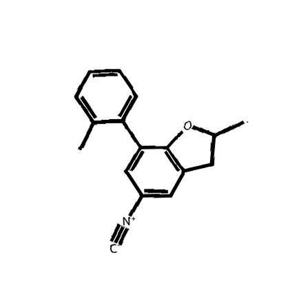 [C-]#[N+]c1cc2c(c(-c3ccccc3C)c1)OC([CH2])C2